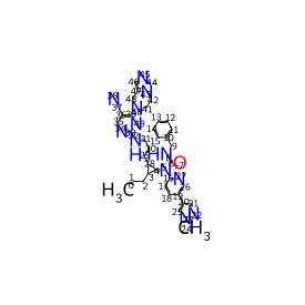 CCCC1/C(=[N+](/C(=O)NCc2ccccc2)c2ccc(-c3cnn(C)c3)cn2)C1CCCNc1ncc(C#N)c(N2CCn3cncc3C2)n1